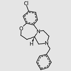 Clc1ccc2c(c1)OCC[C@H]1CN(Cc3ccccc3)CCN21